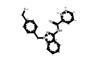 O=C(Nc1nn(Cc2ccc(CF)cc2)c2ccccc12)c1cccnn1